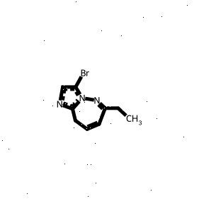 CCC1=Nn2c(Br)cnc2CC=C1